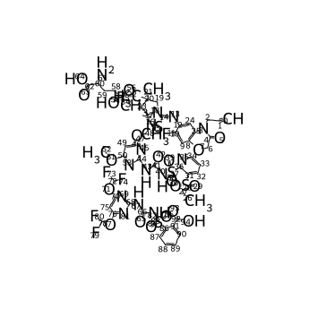 C#CCN1C(=O)COc2cc(F)c(/N=c3\snc4n3CC(C)(C)C4)cc21.CCS(=O)(=O)c1cccnc1S(=O)(=O)NC(=O)Nc1nc(OC)cc(OC)n1.CP(=O)(O)CCC(N)C(=O)O.O=C(Nc1nc(OC(F)F)cc(OC(F)F)n1)NS(=O)(=O)c1ccccc1C(=O)O